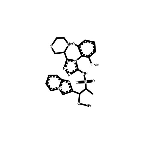 COc1cccc(OC)c1-n1c(NS(=O)(=O)C(C)C(OC(C)C)c2cn3ccccc3n2)nnc1C1COCCO1